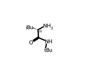 CCC(C)[C@H](N)C(=O)NC(C)(C)C